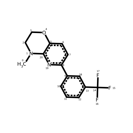 CN1CCOc2ccc(-c3cccc(C(F)(F)F)c3)nc21